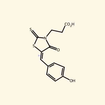 O=C(O)CCN1C(=O)/C(=C\c2ccc(O)cc2)SC1=S